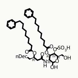 CCCCCCCCCCC[C@H](CC(=O)N[C@H]1C(O)O[C@H](CO)[C@@H](OS(=O)(=O)O)[C@@H]1OC(=O)CCCCCCCCc1ccccc1)OC(=O)CCCCCCCCc1ccccc1